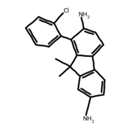 CC1(C)c2cc(N)ccc2-c2ccc(N)c(-c3ccccc3Cl)c21